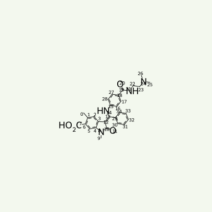 Cc1cc2c(cc1C(=O)O)N(C)C(=O)C2=C(Nc1ccc(C(=O)NCCN(C)C)cc1)c1ccccc1